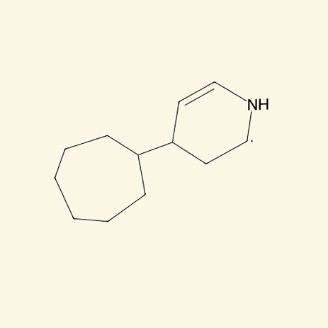 [CH]1CC(C2CCCCCC2)C=CN1